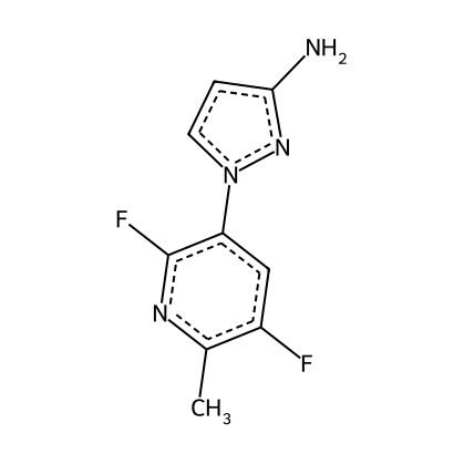 Cc1nc(F)c(-n2ccc(N)n2)cc1F